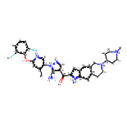 Cc1cc(Oc2c(F)cccc2F)ncc1-n1ncc(C(=O)c2cc3cc4c(cc3[nH]2)CCN(C2CCN(C)CC2)C4)c1N